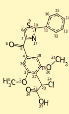 COc1cc(C(=O)c2csc(-c3ccccc3)n2)cc(OC)c1C(Cl)C(=O)O